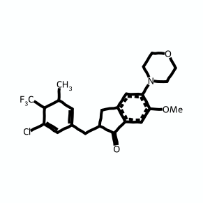 COc1cc2c(cc1N1CCOCC1)CC(CC1=CC(C)C(C(F)(F)F)C(Cl)=C1)C2=O